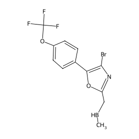 CBCc1nc(Br)c(-c2ccc(OC(F)(F)F)cc2)o1